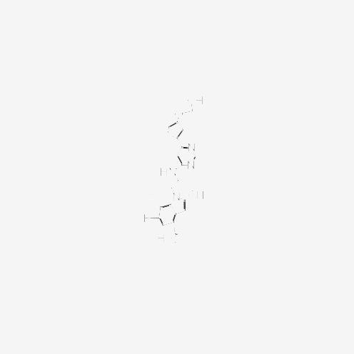 CCOc1csc(-c2cc(NCCn3c(C)cc4c(OC)cc(F)c(F)c43)ncn2)c1